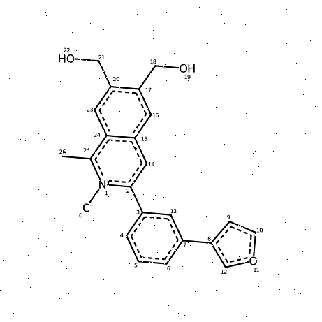 [CH2-][n+]1c(-c2cccc(-c3ccoc3)c2)cc2cc(CO)c(CO)cc2c1C